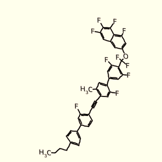 CCCCc1ccc(-c2ccc(C#Cc3cc(F)c(-c4cc(F)c(C(F)(F)Oc5cc(F)c6c(F)c(F)c(F)cc6c5)c(F)c4)cc3C)c(F)c2)cc1